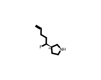 C=CCCC(F)[C@@H]1CCNC1